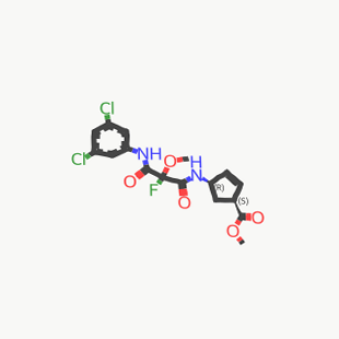 COC(=O)[C@@H]1C=C[C@H](NC(=O)C(F)(OC)C(=O)Nc2cc(Cl)cc(Cl)c2)C1